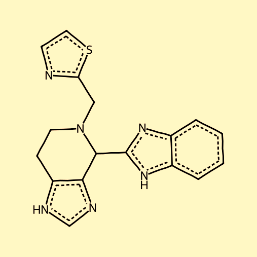 c1ccc2[nH]c(C3c4nc[nH]c4CCN3Cc3nccs3)nc2c1